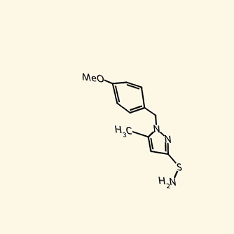 COc1ccc(Cn2nc(SN)cc2C)cc1